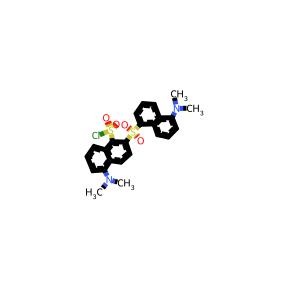 CN(C)c1cccc2c(S(=O)(=O)c3ccc4c(N(C)C)cccc4c3S(=O)(=O)Cl)cccc12